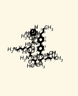 C=N/C(=C\NC)C[C@H](NC(=O)c1ccc(-c2ccc(CCCC)cc2)cc1)C(=O)N[C@H](C(=O)N[C@@H](N)C(=O)N[C@@H](CCCCN)C(=O)N[C@@H](N)B1OC2C[C@@H]3C[C@@H](C3(C)C)[C@]2(C)O1)C(C)O